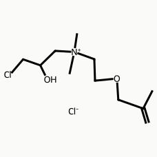 C=C(C)COCC[N+](C)(C)CC(O)CCl.[Cl-]